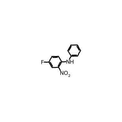 O=[N+]([O-])c1cc(F)ccc1Nc1ccccc1